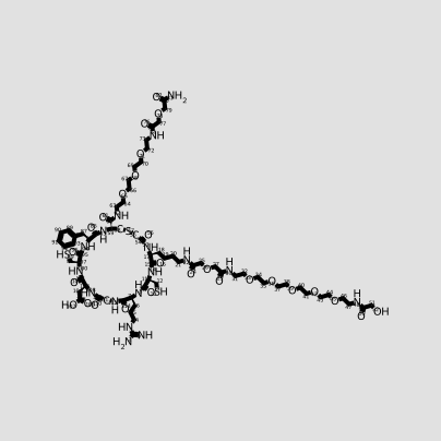 N=C(N)NCCC[C@@H]1NC(=O)[C@H](CS)NC(=O)[C@H](CCCCNC(=O)COCC(=O)NCCOCCOCCOCCOCCOCCNC(=O)CO)NC(=O)CSC[C@@H](C(=O)NCCOCCOCCOCCNC(=O)COCC(N)=O)NC(=O)[C@H](Cc2ccccc2)NC(=O)[C@H](CS)NC(=O)[C@H](CC(=O)O)NC(=O)CNC1=O